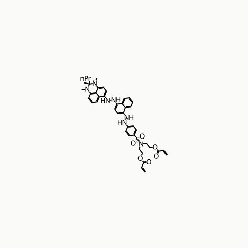 C=CC(=O)OCCN(CCOC(=O)C=C)S(=O)(=O)c1ccc(NNc2ccc(NNc3ccc4c5c(cccc35)N(C)C(C)(CCC)N4C)c3ccccc23)cc1